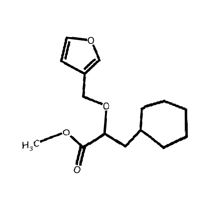 COC(=O)C(CC1CCCCC1)OCc1ccoc1